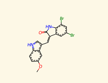 COc1ccc2[nH]cc(C=C3C(=O)Nc4c(Br)cc(Br)cc43)c2c1